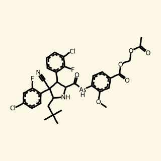 COc1cc(C(=O)OCOC(C)=O)ccc1[AsH]C(=O)C1NC(CC(C)(C)C)C(C#N)(c2ccc(Cl)cc2F)C1c1cccc(Cl)c1F